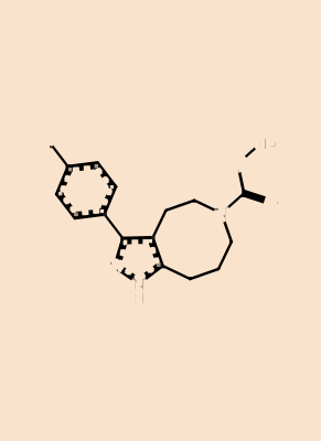 CC(C)(C)OC(=O)N1CCCc2[nH]nc(-c3ccc(Cl)cc3)c2CC1